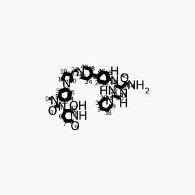 Cn1c(=O)n([C@@H]2CCC(=O)NC2O)c2ccc(N3CC[C@@H](CN4CCC(c5ccc(NC6NC(N7CCCCC7)CNC6C(N)=O)cc5)CC4)C3)cc21